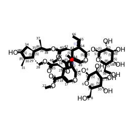 C/C=C1/[C@H](O[C@@H]2O[C@H](CO)[C@@H](O)[C@H](O)[C@H]2O)OC=C(C(=O)OC)[C@H]1CC(=O)OC[C@@H]1[C@@H](C)[C@@H](O)C[C@H]1[C@@H](C)COC(=O)C[C@@H]1C(C(=O)OC)=CO[C@@H](O[C@@H]2O[C@H](CO)[C@@H](O)[C@H](O)[C@H]2O)/C1=C/C